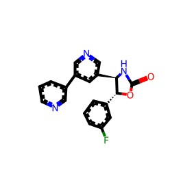 O=C1N[C@H](c2cncc(-c3cccnc3)c2)[C@@H](c2cccc(F)c2)O1